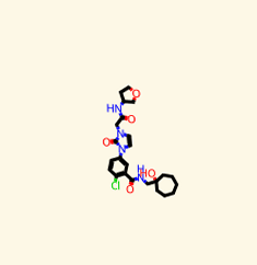 O=C(Cn1ccn(-c2ccc(Cl)c(C(=O)NCC3(O)CCCCCC3)c2)c1=O)NC1CCOC1